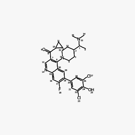 CC(C1CCN(c2c(C(=O)C3CC3)cnc3cc(F)c(-c4cc(Cl)c(O)c(Cl)c4)cc23)CC1)N(C)C